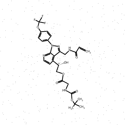 C=CC(=O)NCc1nn(-c2ccc(OC(F)(F)F)cc2)c2nccc([C@H](O)COC(=O)CNC(=O)OC(C)(C)C)c12